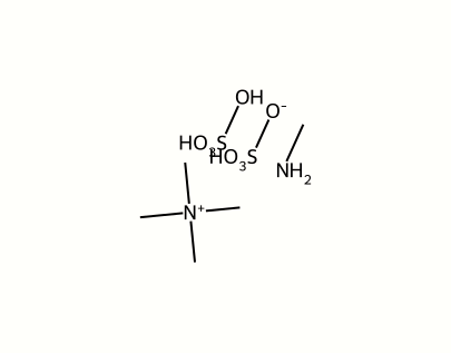 CN.C[N+](C)(C)C.O=S(=O)(O)O.O=S(=O)([O-])O